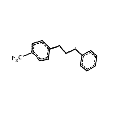 FC(F)(F)c1ccc(CC[CH]c2ccccc2)cc1